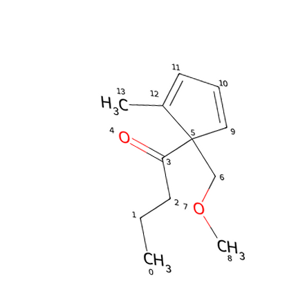 CCCC(=O)C1(COC)C=CC=C1C